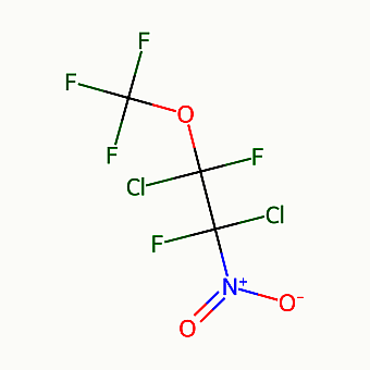 O=[N+]([O-])C(F)(Cl)C(F)(Cl)OC(F)(F)F